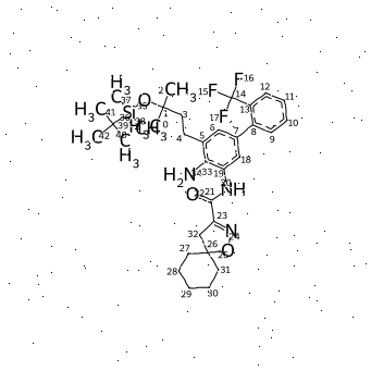 CC(C)(CCc1cc(-c2ccccc2C(F)(F)F)cc(NC(=O)C2=NOC3(CCCCC3)C2)c1N)O[Si](C)(C)C(C)(C)C